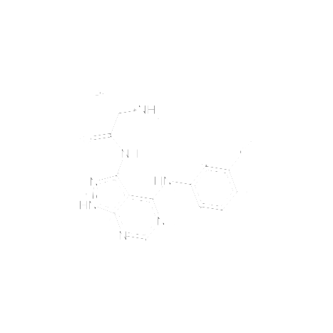 CC(C)[C@H](N)C(=O)Nc1n[nH]c2ncnc(Nc3cccc(Cl)c3)c12